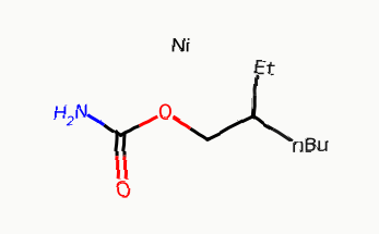 CCCCC(CC)COC(N)=O.[Ni]